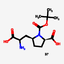 CC(C)(C)OC(=O)N1[C@H](CC(N)C(=O)O)CC[C@H]1C(=O)O.[H+]